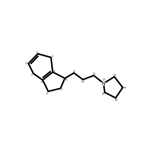 C1=CCC2=C(C1)CCC2CCCN1CCCC1